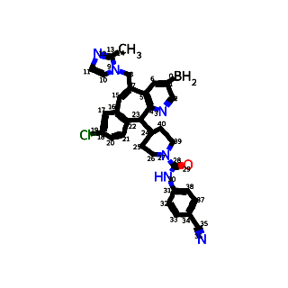 Bc1cnc2c(c1)C(Cn1ccnc1C)=Cc1cc(Cl)ccc1C2C1CCN(C(=O)Nc2ccc(C#N)cc2)CC1